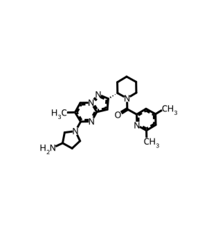 Cc1cc(C)nc(C(=O)N2CCCC[C@H]2c2cc3nc(N4CCC(N)C4)c(C)cn3n2)c1